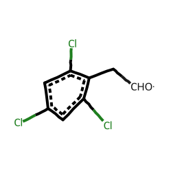 O=[C]Cc1c(Cl)cc(Cl)cc1Cl